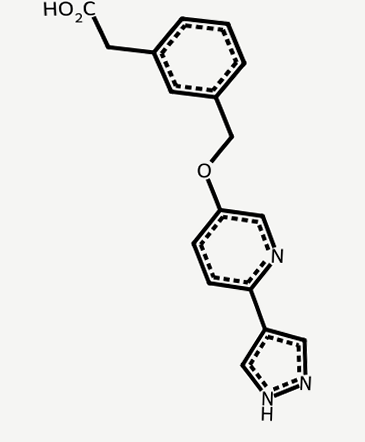 O=C(O)Cc1cccc(COc2ccc(-c3cn[nH]c3)nc2)c1